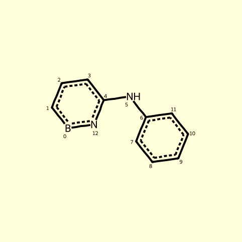 b1cccc(Nc2ccccc2)n1